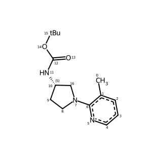 Cc1cccnc1N1CC[C@H](NC(=O)OC(C)(C)C)C1